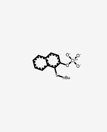 CCCCSc1c(O[Cl+3]([O-])([O-])[O-])ccc2ccccc12